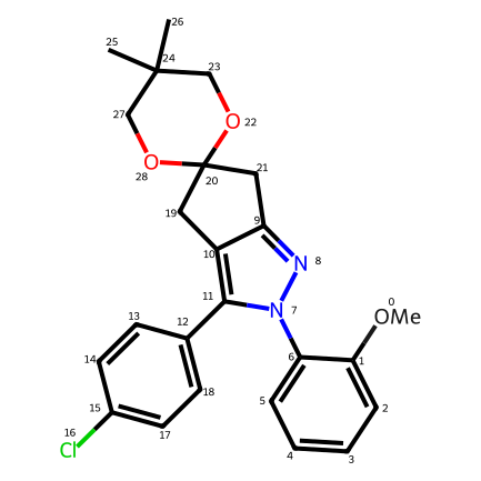 COc1ccccc1-n1nc2c(c1-c1ccc(Cl)cc1)CC1(C2)OCC(C)(C)CO1